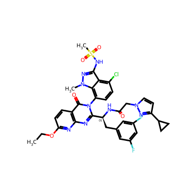 CCOc1ccc2c(=O)n(-c3ccc(Cl)c4c(NS(C)(=O)=O)nn(C)c34)c([C@H](Cc3cc(F)cc(F)c3)NC(=O)Cn3ccc(C4CC4)n3)nc2n1